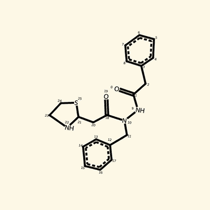 O=C(Cc1ccccc1)NN(Cc1ccccc1)C(=O)CC1NCCS1